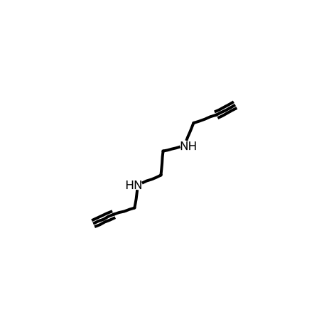 C#CCNCCNCC#C